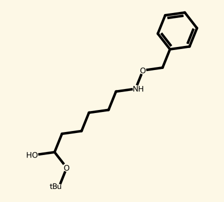 CC(C)(C)OC(O)CCCCCNOCc1ccccc1